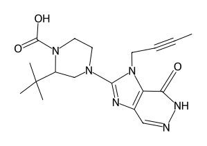 CC#CCn1c(N2CCN(C(=O)O)C(C(C)(C)C)C2)nc2cn[nH]c(=O)c21